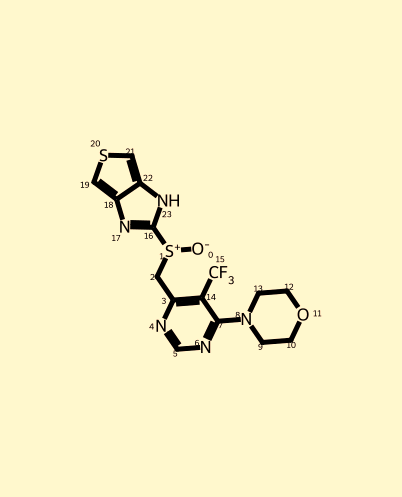 [O-][S+](Cc1ncnc(N2CCOCC2)c1C(F)(F)F)c1nc2cscc2[nH]1